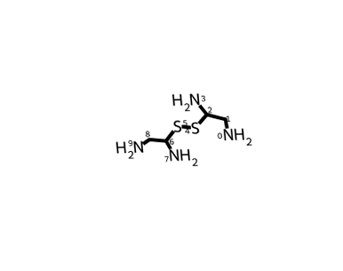 NCC(N)SSC(N)CN